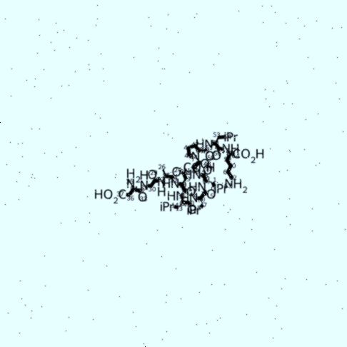 CC(C)C[C@H](NC(=O)[C@H](CC(C)C)NC(=O)[C@H](CC(C)C)NC(=O)[C@H](CCC(=O)O)NC(=O)[C@H](C)NC(=O)CNC(=O)[C@@H](N)CC(=O)O)C(=O)NCC(=O)N1CCC[C@H]1C(=O)N[C@@H](CC(C)C)C(=O)N[C@@H](CCCCN)C(=O)O